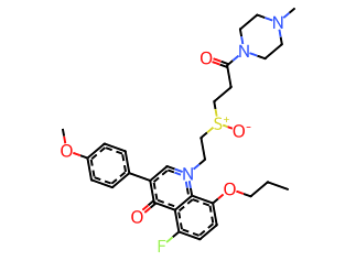 CCCOc1ccc(F)c2c(=O)c(-c3ccc(OC)cc3)cn(CC[S+]([O-])CCC(=O)N3CCN(C)CC3)c12